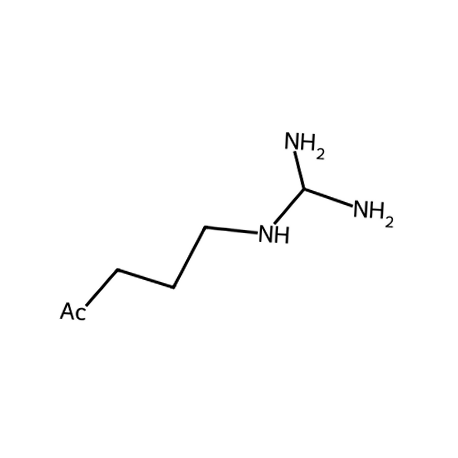 CC(=O)CCCNC(N)N